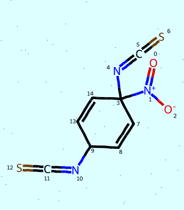 O=[N+]([O-])C1(N=C=S)C=CC(N=C=S)C=C1